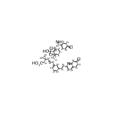 CC(C)(O)c1ccccc1CC[C@@H](SCC1(CC(=O)O)CC1)c1cccc(/C=C/c2ccc3ccc(Cl)cc3n2)c1.NCc1ccc(Cl)cc1